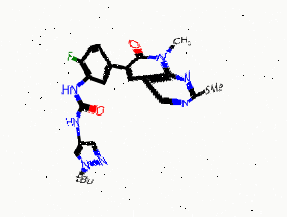 CSc1ncc2cc(-c3ccc(F)c(NC(=O)Nc4cnn(C(C)(C)C)c4)c3)c(=O)n(C)c2n1